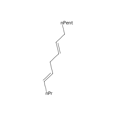 [CH2]CCCCCC=CCC=CCCC